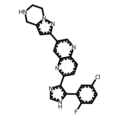 Fc1ccc(Cl)cc1-c1[nH]cnc1-c1ccc2ncc(-c3cc4n(n3)CCNC4)cc2n1